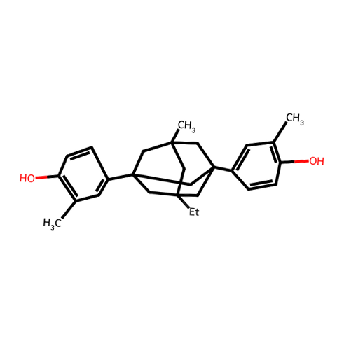 CCC12CC3(C)CC(c4ccc(O)c(C)c4)(C1)CC(c1ccc(O)c(C)c1)(C3)C2